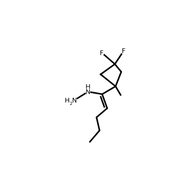 CCC/C=C(\NN)C1(C)CC(F)(F)C1